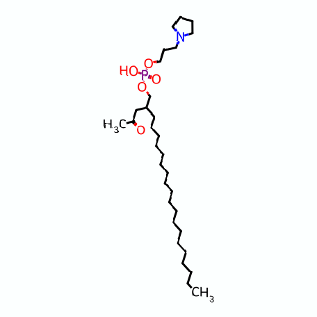 CCCCCCCCCCCCCCCCCCCC(COP(=O)(O)OCCCN1CCCC1)CC(C)=O